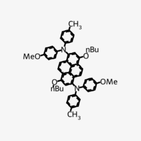 CCCCOc1cc(N(c2ccc(C)cc2)c2ccc(OC)cc2)c2ccc3c(OCCCC)cc(N(c4ccc(C)cc4)c4ccc(OC)cc4)c4ccc1c2c34